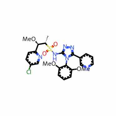 COc1cccc(OC)c1-n1c(NS(=O)(=O)[C@@H](C)[C@H](OC)c2ccc(Cl)cn2)nnc1-c1cccnc1